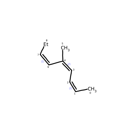 C\C=C/C=C(C)\C=C/CC